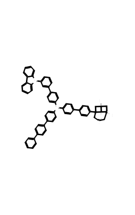 c1ccc(-c2ccc(-c3ccc(N(c4ccc(-c5ccc(C67C[C@@H]8C[C@H]9C[C@@H](C6)[C@@]97C8)cc5)cc4)c4ccc(-c5cccc(-n6c7ccccc7c7ccccc76)c5)cc4)cc3)cc2)cc1